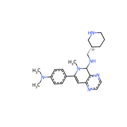 CN(C)c1ccc(C2=Cc3nccnc3C(NC[C@H]3CCCNC3)N2C)cc1